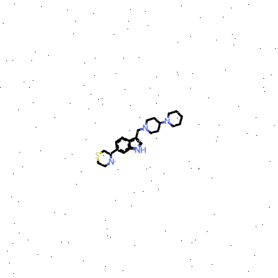 c1cc2c(CN3CCC(N4CCCCC4)CC3)c[nH]c2cc1C1CSCC[N]1